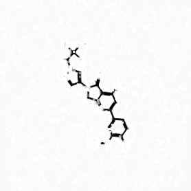 COc1cc(-c2cc(C)c3c(n2)CN(c2cnn(CC(F)(F)F)c2)C3=O)ccc1Cl